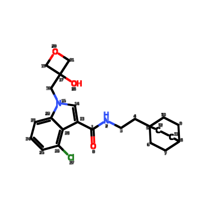 O=C(NCCC12CCC(CC1)CC2)c1cn(CC2(O)COC2)c2cccc(Cl)c12